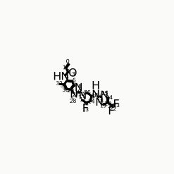 C=CC(=O)Nc1cc2nc(N3CC(F)C[C@@H](Nc4ncc(C(F)F)cn4)C3)n(C)c2cc1C